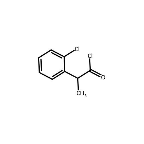 CC(C(=O)Cl)c1ccccc1Cl